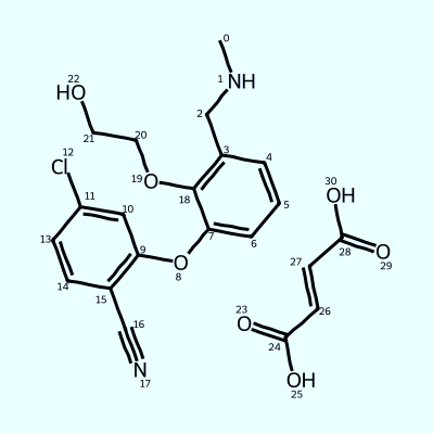 CNCc1cccc(Oc2cc(Cl)ccc2C#N)c1OCCO.O=C(O)C=CC(=O)O